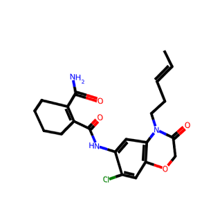 CC=CCCN1C(=O)COc2cc(Cl)c(NC(=O)C3=C(C(N)=O)CCCC3)cc21